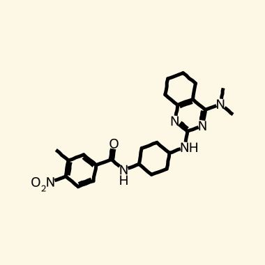 Cc1cc(C(=O)NC2CCC(Nc3nc4c(c(N(C)C)n3)CCCC4)CC2)ccc1[N+](=O)[O-]